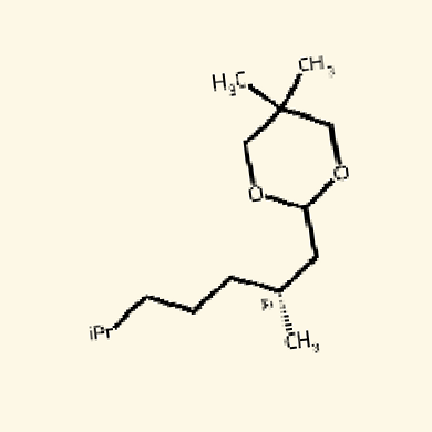 CC(C)CCC[C@@H](C)CC1OCC(C)(C)CO1